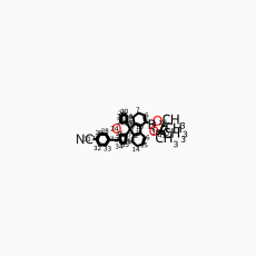 CC1(C)OB(C2=CCCC3=C2C2=C(CCC=C2)C32c3ccccc3Oc3c(-c4ccc(C#N)cc4)cccc32)OC1(C)C